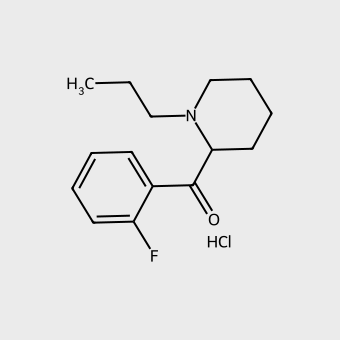 CCCN1CCCCC1C(=O)c1ccccc1F.Cl